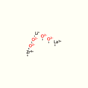 [La+3].[Li+].[O-2].[O-2].[O-2].[O-2].[Zr+4]